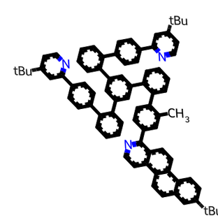 Cc1cc(-c2nccc3c2ccc2c4ccc(C(C)(C)C)cc4ccc32)ccc1-c1ccccc1-c1cc(-c2ccccc2-c2ccc(-c3cc(C(C)(C)C)ccn3)cc2)cc(-c2ccccc2-c2ccc(-c3cc(C(C)(C)C)ccn3)cc2)c1